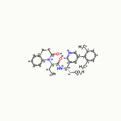 Cc1cccc(C)c1-c1cncc([C@H](CC(=O)O)NC(=O)C(CC(C)C)N2C(=O)CCc3ccccc32)c1